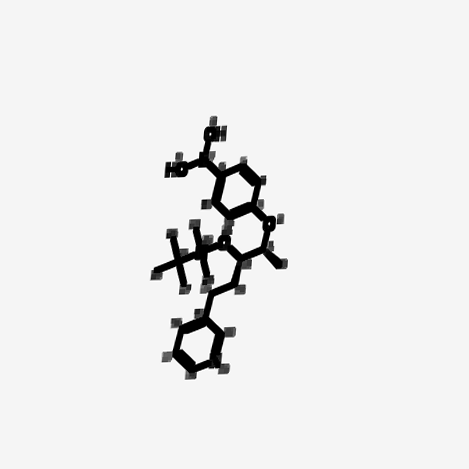 C[C@H](Oc1ccc(B(O)O)cc1)[C@@H](CCc1cccnc1)O[Si](C)(C)C(C)(C)C